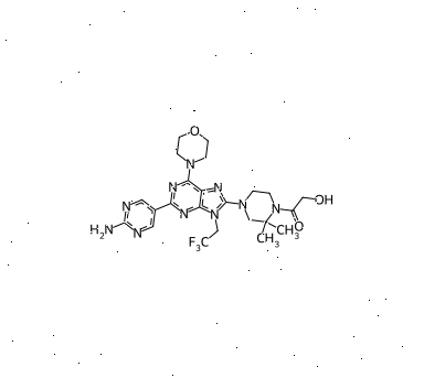 CC1(C)CN(c2nc3c(N4CCOCC4)nc(-c4cnc(N)nc4)nc3n2CC(F)(F)F)CCN1C(=O)CO